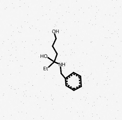 [CH2]CC(O)(CCCO)NCc1ccccc1